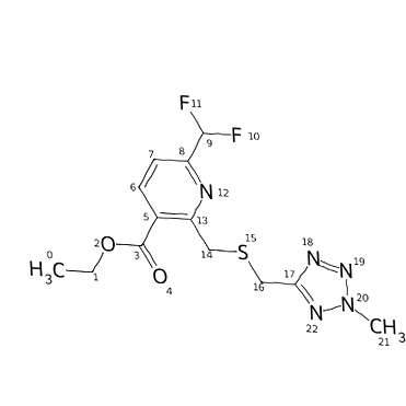 CCOC(=O)c1ccc(C(F)F)nc1CSCc1nnn(C)n1